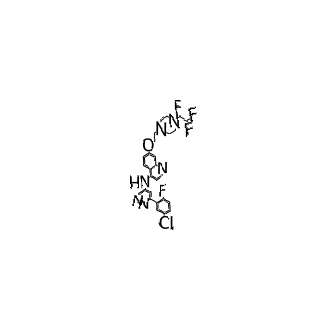 Fc1ccc(Cl)cc1-c1cc(Nc2ccnc3cc(OCCN4CCN(C(F)C(F)F)CC4)ccc23)cnn1